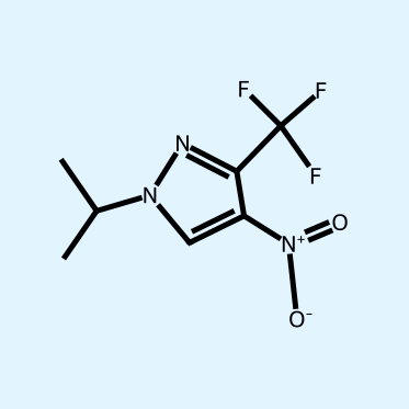 CC(C)n1cc([N+](=O)[O-])c(C(F)(F)F)n1